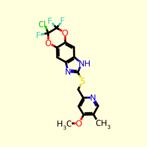 COc1cc(CSc2nc3cc4c(cc3[nH]2)OC(F)(F)C(F)(Cl)O4)ncc1C